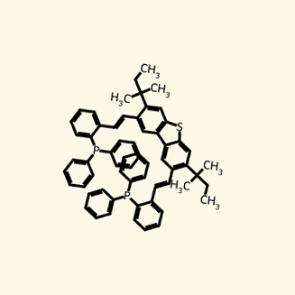 CCC(C)(C)c1cc2sc3cc(C(C)(C)CC)c(/C=C/c4ccccc4P(c4ccccc4)c4ccccc4)cc3c2cc1/C=C/c1ccccc1P(c1ccccc1)c1ccccc1